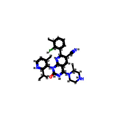 Cc1cccc(-c2nc3c(cc2C#N)c(N2CCNC[C@@H]2C)nc(=O)n3-c2c(C)ccnc2C(C)C)c1F